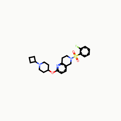 O=S(=O)(c1ccccc1F)N1CCc2nc(OC3CCN(C4CCC4)CC3)ccc2C1